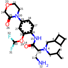 CC(C)CN(CC1CCC1)[C@H](CN)C(=O)Nc1ccc(N2CCOCC2=O)cc1OC(F)F